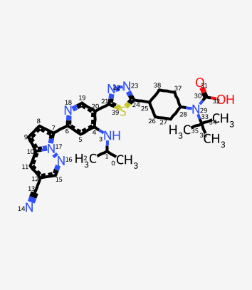 CC(C)Nc1cc(-c2ccc3cc(C#N)cnn23)ncc1-c1nnc(C2CCC(N(C(=O)O)C(C)(C)C)CC2)s1